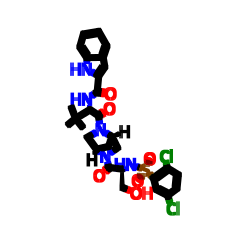 CC(C)(C)[C@H](NC(=O)c1cc2ccccc2[nH]1)C(=O)N1C[C@@H]2C[C@H]1CN2C(=O)[C@H](CO)NS(=O)(=O)c1cc(Cl)ccc1Cl